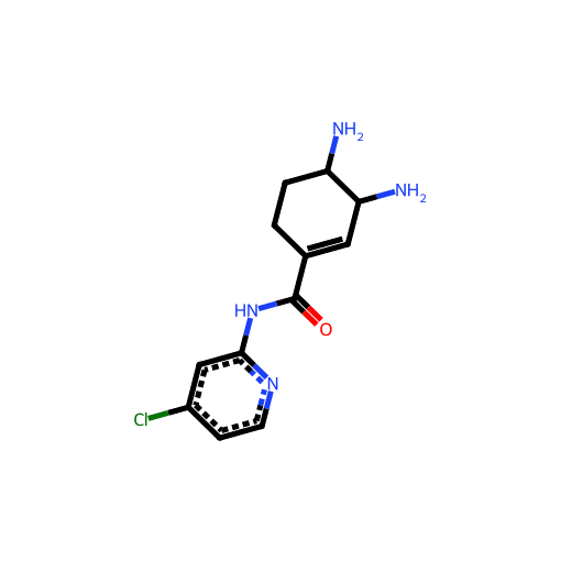 NC1C=C(C(=O)Nc2cc(Cl)ccn2)CCC1N